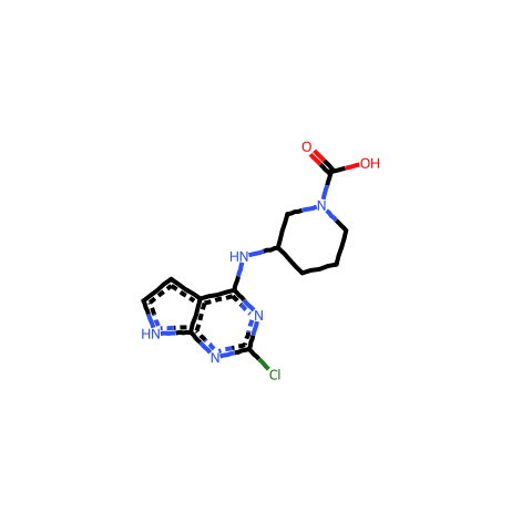 O=C(O)N1CCCC(Nc2nc(Cl)nc3[nH]ccc23)C1